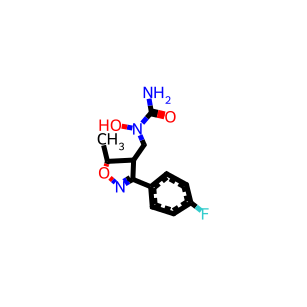 CC1ON=C(c2ccc(F)cc2)C1CN(O)C(N)=O